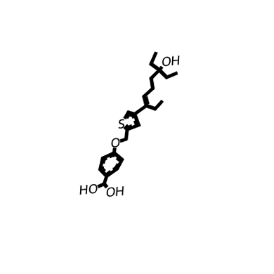 CCC(=CCCC(O)(CC)CC)c1csc(COc2ccc(C(O)O)cc2)c1